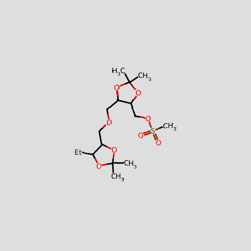 CCC1OC(C)(C)OC1COCC1OC(C)(C)OC1COS(C)(=O)=O